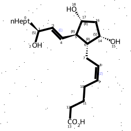 CCCCCCC[C@H](O)/C=C/[C@@H]1[C@@H](C/C=C\CCCC(=O)O)[C@@H](O)C[C@H]1O